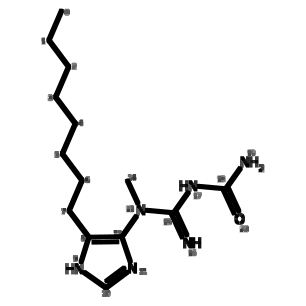 CCCCCCCCc1[nH]cnc1N(C)C(=N)NC(N)=O